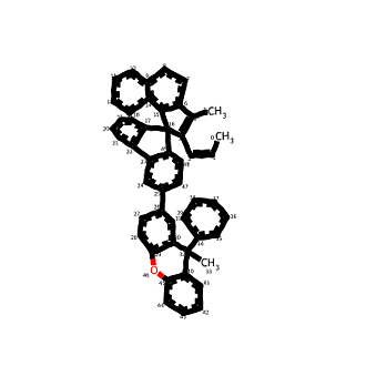 C/C=C\C1=C(C)c2ccc3ccccc3c2C12c1ccccc1-c1cc(-c3ccc4c(c3)C(C)(c3ccccc3)c3ccccc3O4)ccc12